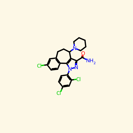 NC(=O)c1nn(-c2ccc(Cl)cc2Cl)c2c1C(N1CCCCC1)CCc1cc(Cl)ccc1-2